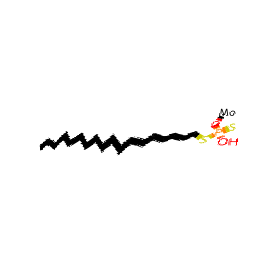 CCCCCCCCCCCCCCCCCCSP(O)(=S)[O][Mo]